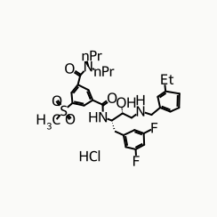 CCCN(CCC)C(=O)c1cc(C(=O)N[C@@H](Cc2cc(F)cc(F)c2)[C@H](O)CNCc2cccc(CC)c2)cc(S(C)(=O)=O)c1.Cl